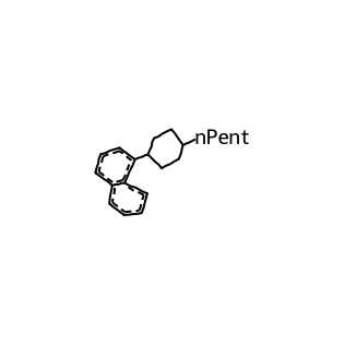 CCCCCC1CCC(c2cccc3ccccc23)CC1